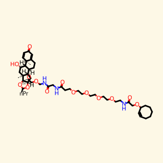 CCCC1O[C@@H]2C[C@H]3[C@@H]4CCC5=CC(=O)C=C[C@]5(C)[C@H]4[C@@H](O)C[C@]3(C)[C@]2(C(=O)COCNC(=O)CNC(=O)CCOCCOCCOCCOCCNC(=O)COC2C#CCCCCC2)O1